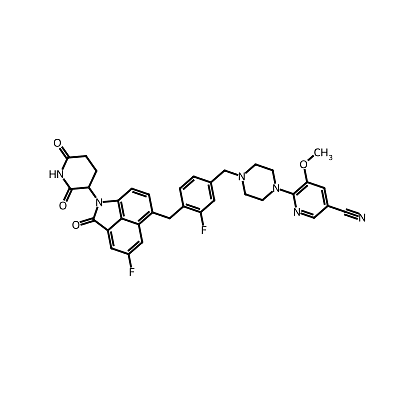 COc1cc(C#N)cnc1N1CCN(Cc2ccc(Cc3ccc4c5c(cc(F)cc35)C(=O)N4C3CCC(=O)NC3=O)c(F)c2)CC1